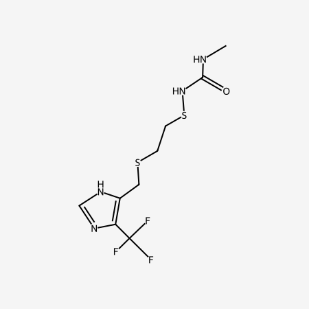 CNC(=O)NSCCSCc1[nH]cnc1C(F)(F)F